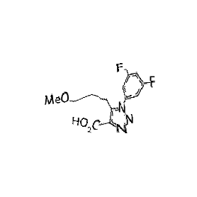 COCCCCc1c(C(=O)O)nnn1-c1cc(F)cc(F)c1